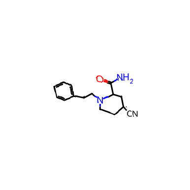 N#C[C]1CCN(CCc2ccccc2)C(C(N)=O)C1